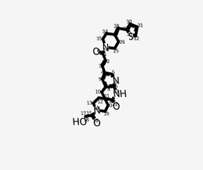 O=C(C=Cc1cnc2c(c1)CC1(CCN(C(=O)CO)CC1)C(=O)N2)N1CCC(=Cc2cccs2)CC1